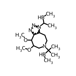 CBC(C)n1nnc2c1CCN(C(C)(C)BC)CC(OC)C2OC